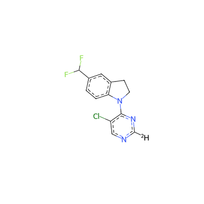 [2H]c1ncc(Cl)c(N2CCc3cc(C(F)F)ccc32)n1